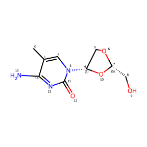 Cc1cn([C@@H]2CO[C@H](CO)O2)c(=O)nc1N